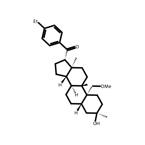 CCc1ccc(C(=O)[C@H]2CC[C@H]3[C@@H]4CC[C@H]5C[C@](C)(O)CC[C@]5(COC)[C@@]4(C)CC[C@]23C)cc1